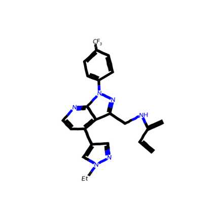 C=CC(=C)NCc1nn(-c2ccc(C(F)(F)F)cc2)c2nccc(-c3cnn(CC)c3)c12